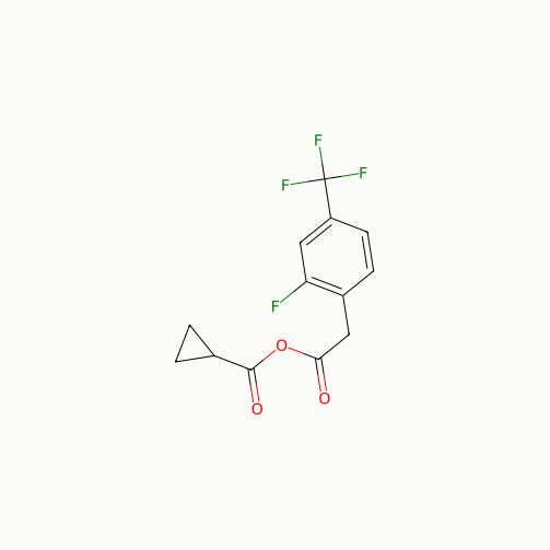 O=C(Cc1ccc(C(F)(F)F)cc1F)OC(=O)C1CC1